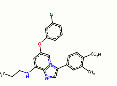 Cc1cc(-c2cnc3c(NCCC(F)(F)F)cc(Oc4cccc(Cl)c4)cn23)ccc1C(=O)O